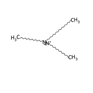 CCCCCCCCCCCCCCCCCCc1n(CCCCCCCCCCCCCCC)cc[n+]1CCCCCCCCCCCCCCC